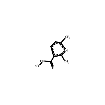 CCCNC(=O)c1ccc(C(F)(F)F)nc1C